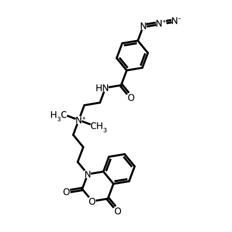 C[N+](C)(CCCn1c(=O)oc(=O)c2ccccc21)CCNC(=O)c1ccc(N=[N+]=[N-])cc1